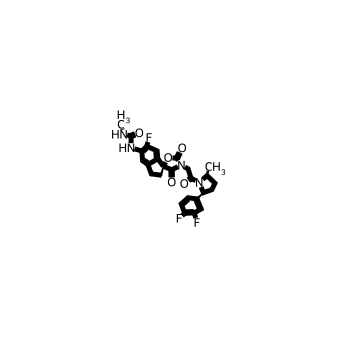 CNC(=O)Nc1cc2c(cc1F)[C@]1(CC2)OC(=O)N(CC(=O)N2[C@@H](C)CC[C@H]2c2ccc(F)c(F)c2)C1=O